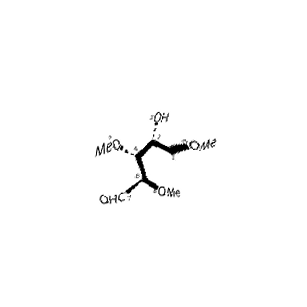 COC[C@@H](O)[C@@H](OC)[C@H](C=O)OC